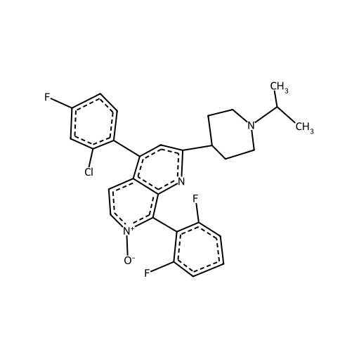 CC(C)N1CCC(c2cc(-c3ccc(F)cc3Cl)c3cc[n+]([O-])c(-c4c(F)cccc4F)c3n2)CC1